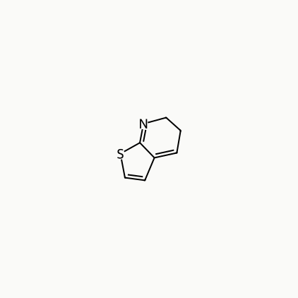 C1=c2ccsc2=NCC1